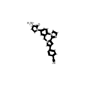 N#Cc1ccc(-c2cc3n(c2)Cc2cc(N4CC[C@H](N)C4=O)ccc2-n2ccnc2-3)cc1